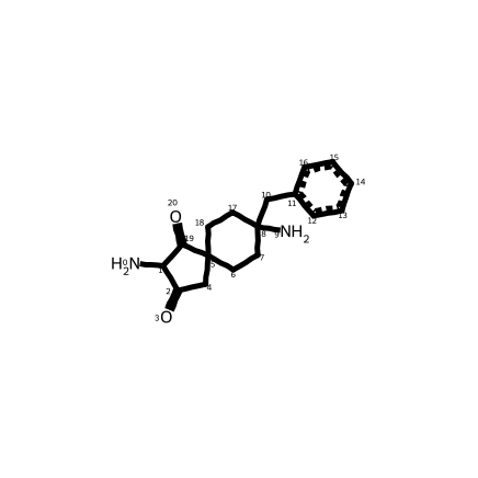 NC1C(=O)CC2(CCC(N)(Cc3ccccc3)CC2)C1=O